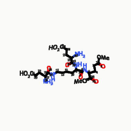 COC(=O)CCC(NC(=O)C(CCCCNC(=O)C(N)CCC(=O)O)NC(=O)C(N)CCC(=O)O)C(=O)OC